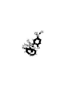 O=[N+]([O-])c1ccc(Cl)c(S(=O)(=O)N[C@H]2CN3CCC2CC3)c1